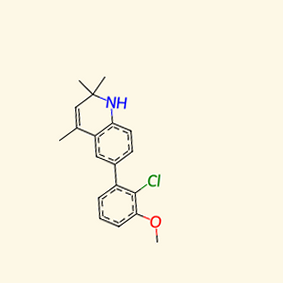 COc1cccc(-c2ccc3c(c2)C(C)=CC(C)(C)N3)c1Cl